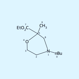 CCCCN1CCOC(C)(C(=O)OCC)C1